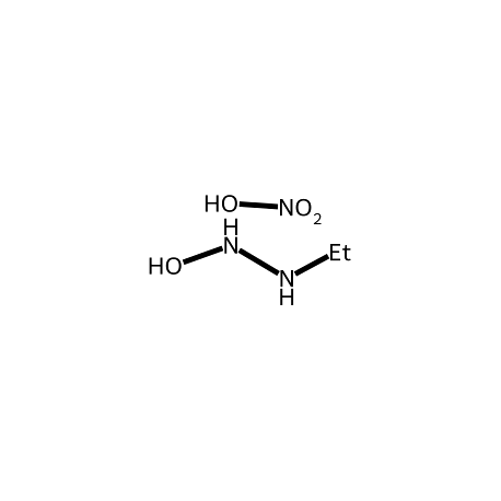 CCNNO.O=[N+]([O-])O